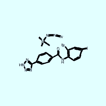 C[Si](C)(C)N=[N+]=[N-].O=C(Nc1ccc(I)cc1Br)c1ccc(-c2nn[nH]n2)cc1